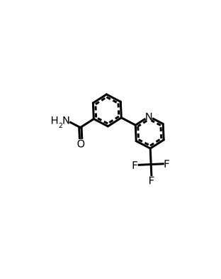 NC(=O)c1cccc(-c2cc(C(F)(F)F)ccn2)c1